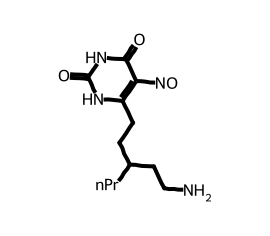 CCCC(CCN)CCc1[nH]c(=O)[nH]c(=O)c1N=O